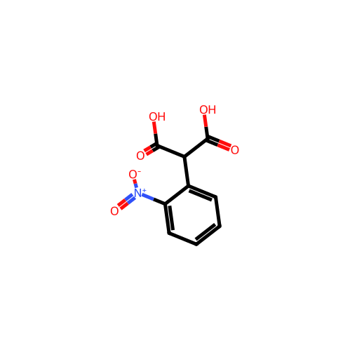 O=C(O)C(C(=O)O)c1ccccc1[N+](=O)[O-]